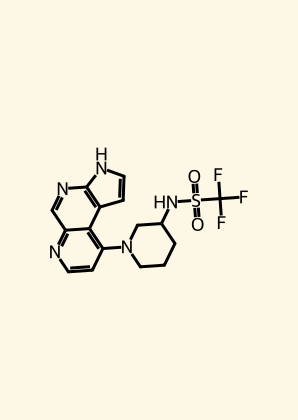 O=S(=O)(NC1CCCN(c2ccnc3cnc4[nH]ccc4c23)C1)C(F)(F)F